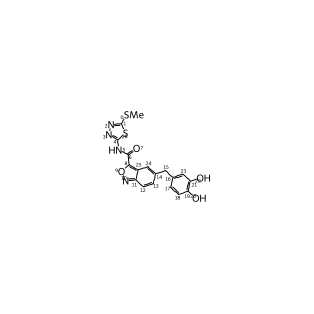 CSc1nnc(NC(=O)c2onc3ccc(Cc4ccc(O)c(O)c4)cc23)s1